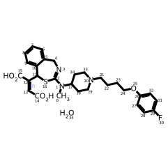 CN(C1=NCc2ccccc2C(/C(=C\C(=O)O)C(=O)O)S1)C1CCN(CCCCOc2ccc(F)cc2)CC1.O